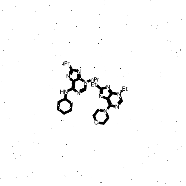 CCCn1cnc(NC2CCCCC2)c2nc(C(C)C)nc1-2.CCc1nc2c(N3CCOCC3)ncn(CC)c-2n1